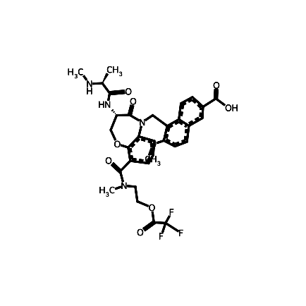 CN[C@@H](C)C(=O)N[C@H]1COc2c(C(=O)N(C)CCOC(=O)C(F)(F)F)cccc2N(Cc2c(OC)ccc3cc(C(=O)O)ccc23)C1=O